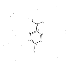 CN(C)c1ccc(F)cc1